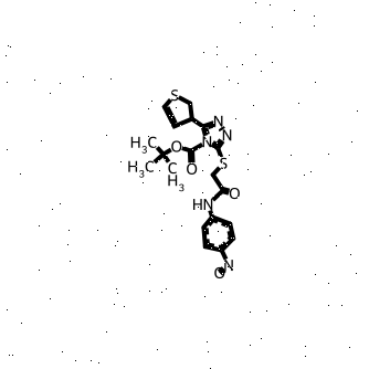 CC(C)(C)OC(=O)n1c(SCC(=O)Nc2ccc(N=O)cc2)nnc1C1C=CSC1